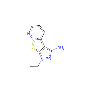 CCn1nc(N)c2c3cccnc3sc21